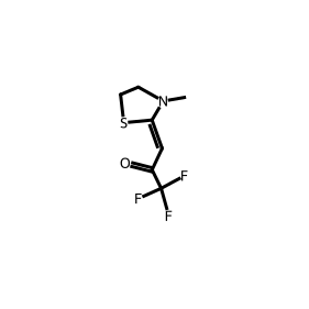 CN1CCS/C1=C\C(=O)C(F)(F)F